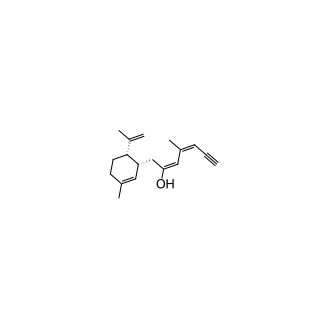 C#C/C=C(C)\C=C(\O)C[C@@H]1C=C(C)CC[C@@H]1C(=C)C